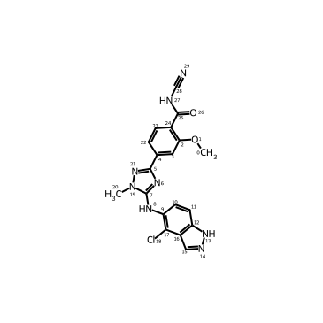 COc1cc(-c2nc(Nc3ccc4[nH]ncc4c3Cl)n(C)n2)ccc1C(=O)NC#N